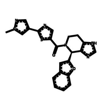 Cn1cc(-c2ncc(C(=O)N3CCc4[nH]cnc4[C@H]3c3cc4ccccc4o3)s2)cn1